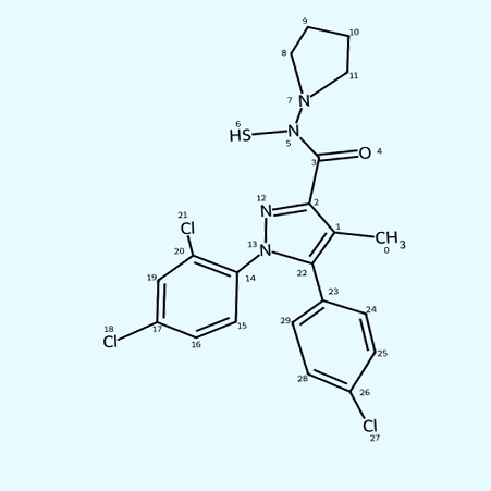 Cc1c(C(=O)N(S)N2CCCC2)nn(-c2ccc(Cl)cc2Cl)c1-c1ccc(Cl)cc1